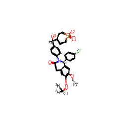 [2H]C([2H])([2H])Oc1cc2c(cc1OC(C)C)[C@H](c1ccc(Cl)cc1)N(c1ccc([C@](C)(O)C3CCS(=O)(=O)CC3)cc1)C(=O)C2